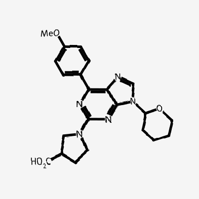 COc1ccc(-c2nc(N3CCC(C(=O)O)C3)nc3c2ncn3C2CCCCO2)cc1